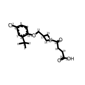 CC(C)(C)c1cc(Cl)ccc1OCC1CN(C(=O)CCC(=O)O)C1